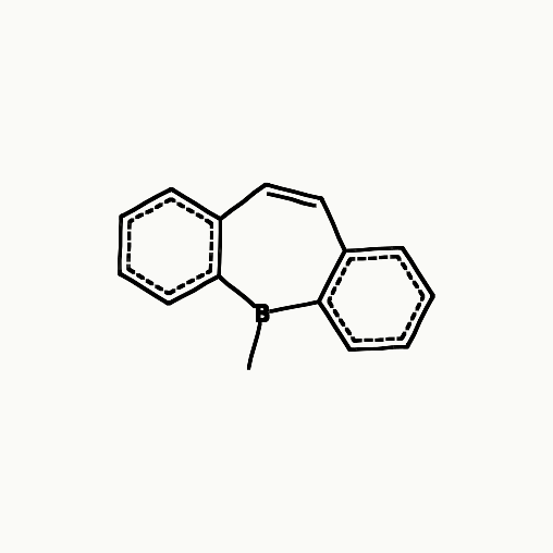 CB1c2ccccc2C=Cc2ccccc21